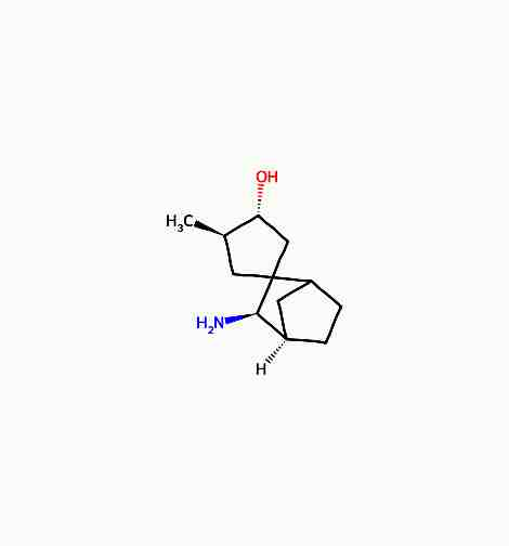 C[C@@H]1CC2(C[C@H]1O)C1CC[C@H](C1)[C@H]2N